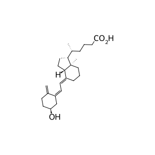 C=C1CC[C@H](O)C/C1=C/C=C1\CCC[C@]2(C)[C@@H]([C@H](C)CCCC(=O)O)CC[C@@H]12